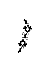 C=CCON1C(C)(C)CC(OC(=O)C(=O)OC2CC(C)(C)N(OCC=C)C(C)(C)C2)CC1(C)C